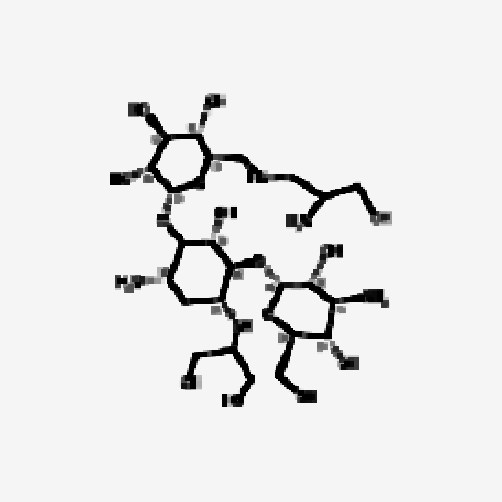 NC(CO)CNC[C@H]1O[C@H](OC2[C@@H](N)C[C@@H](NC(CO)CO)[C@H](O[C@H]3O[C@H](CO)[C@@H](O)[C@H](N)[C@H]3O)[C@H]2O)[C@H](O)[C@@H](O)[C@@H]1O